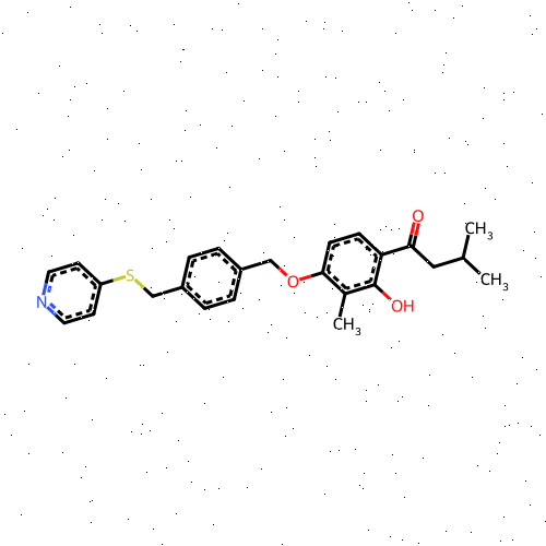 Cc1c(OCc2ccc(CSc3ccncc3)cc2)ccc(C(=O)CC(C)C)c1O